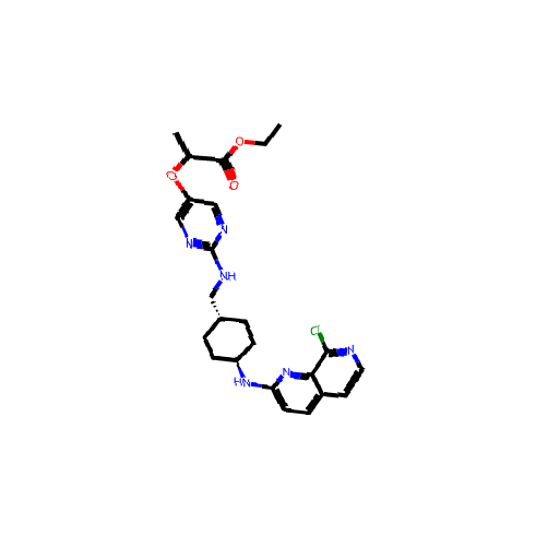 CCOC(=O)C(C)Oc1cnc(NC[C@H]2CC[C@H](Nc3ccc4ccnc(Cl)c4n3)CC2)nc1